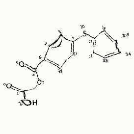 O=C(O)OC(=O)c1ccc(Sc2ccccc2)cc1